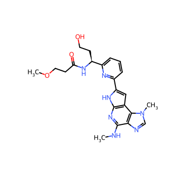 CNc1nc2[nH]c(-c3cccc([C@H](CCO)NC(=O)CCOC)n3)cc2c2c1ncn2C